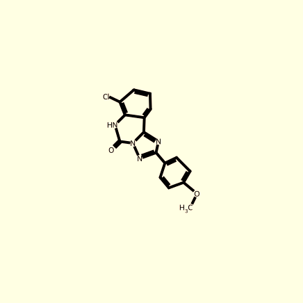 COc1ccc(-c2nc3c4cccc(Cl)c4[nH]c(=O)n3n2)cc1